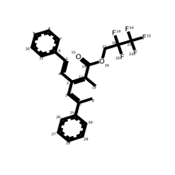 CC(=CC(C=Cc1ccccc1)=C(C)C(=O)OCC(F)(F)C(F)(F)F)c1ccccc1